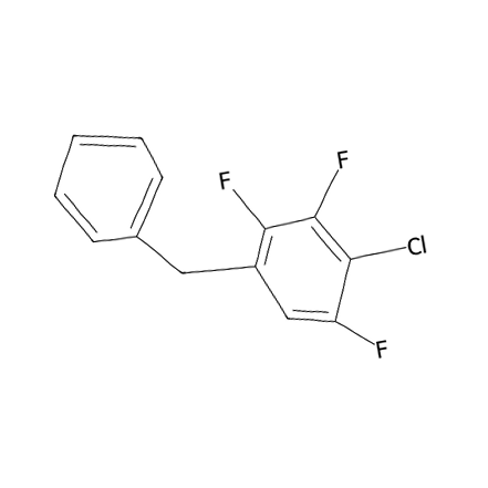 Fc1cc(Cc2ccccc2)c(F)c(F)c1Cl